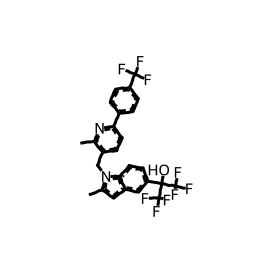 Cc1nc(-c2ccc(C(F)(F)F)cc2)ccc1Cn1c(C)cc2cc(C(O)(C(F)(F)F)C(F)(F)F)ccc21